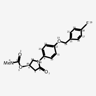 CNC(=O)O[C@@H]1CC(=O)N(c2ccc(OCc3ccc(F)cc3)cc2)C1